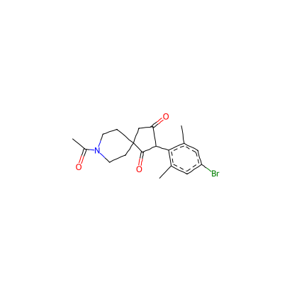 CC(=O)N1CCC2(CC1)CC(=O)C(c1c(C)cc(Br)cc1C)C2=O